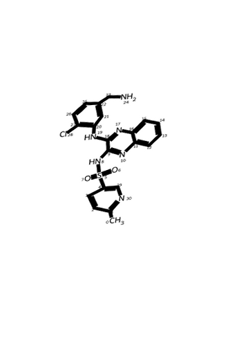 Cc1ccc(S(=O)(=O)Nc2nc3ccccc3nc2Nc2cc(CN)ccc2Cl)cn1